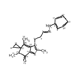 CC1=C(CC/C=N/Nc2ccccc2)C2=C(C)C3(CC3)[C@H](C)C(=O)C2=C1